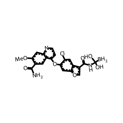 BC(O)(O)NC(=O)c1coc2cc(Oc3ccnc4cc(OC)c(C(N)=O)cc34)c(Cl)cc12